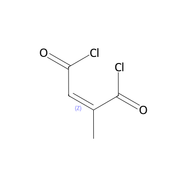 C/C(=C/C(=O)Cl)C(=O)Cl